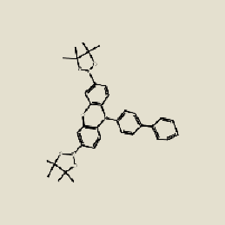 CC1(C)OB(c2ccc3c(c2)Oc2cc(B4OC(C)(C)C(C)(C)O4)ccc2N3c2ccc(-c3ccccc3)cc2)OC1(C)C